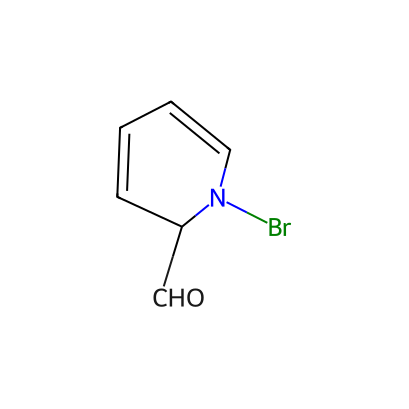 O=CC1C=CC=CN1Br